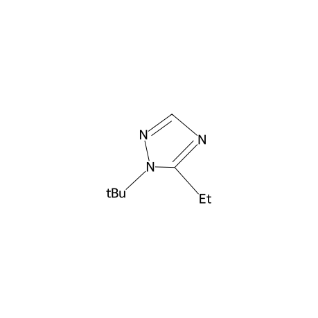 CCc1ncnn1C(C)(C)C